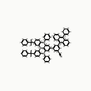 CC(C)(c1ccccc1)c1ccc2c(c1)B1c3cc(C(C)(C)c4ccccc4)ccc3N(c3ccccc3)c3cc(-c4cc(C#N)cc(-c5c6ccccc6c(C6=CC=CCC6)c6ccccc56)c4)cc(c31)N2c1ccccc1